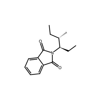 CC[C@H]([C@@H](C)CC)N1C(=O)c2ccccc2C1=O